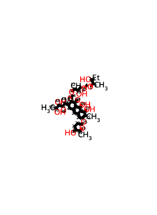 CC[C@@H](O)C(C)OCOC[C@H](O)C(C)OCO[C@@H]1C(=O)c2c(cc3cc(O[C@H]4CC[C@H](O)C(C)O4)c(C)c(O)c3c2O)CC1[C@H](OC)C(=O)[C@@H](O)[C@@H](C)O